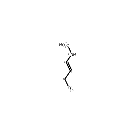 O=C(O)NC=CCC(F)(F)F